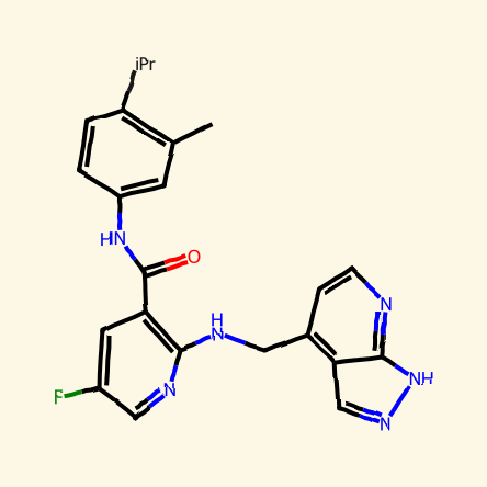 Cc1cc(NC(=O)c2cc(F)cnc2NCc2ccnc3[nH]ncc23)ccc1C(C)C